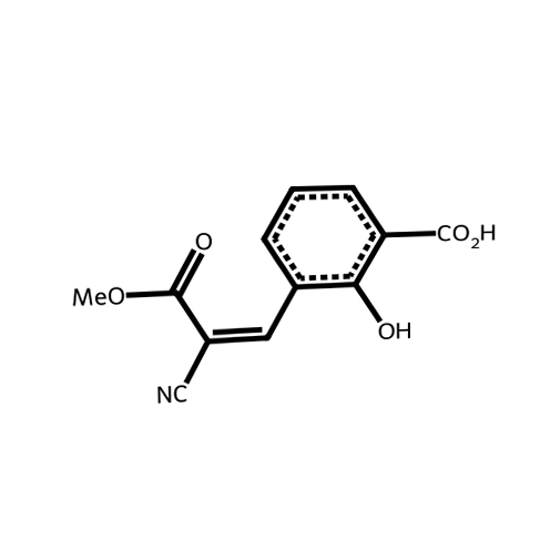 COC(=O)C(C#N)=Cc1cccc(C(=O)O)c1O